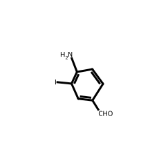 Nc1ccc(C=O)cc1I